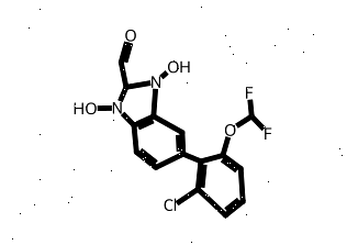 O=CC1N(O)c2ccc(-c3c(Cl)cccc3OC(F)F)cc2N1O